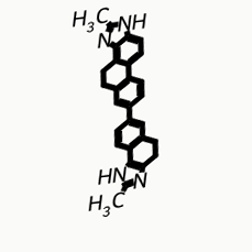 Cc1nc2c([nH]1)-c1ccc(-c3ccc4c(c3)CCc3c-4ccc4[nH]c(C)nc34)cc1CC2